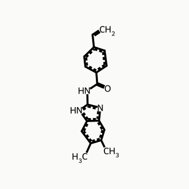 C=Cc1ccc(C(=O)Nc2nc3cc(C)c(C)cc3[nH]2)cc1